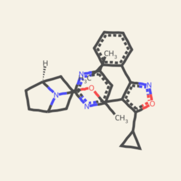 Cc1cc(C)nc(N2C3CC[C@H]2CC(OCc2c(-c4ccccc4C)noc2C2CC2)C3)n1